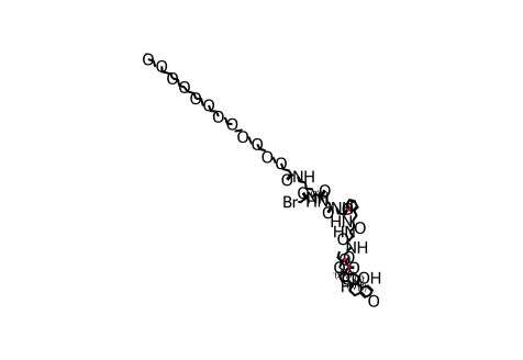 CCC(=O)O[C@]1(C(=O)COCNC(=O)CNC(=O)C(Cc2ccccc2)NC(=O)CNC(=O)CNC(=O)[C@H](CCCCNC(=O)CCOCCOCCOCCOCCOCCOCCOCCOCCOCCOCCOCCOC)NC(=O)CBr)[C@@H](C)CC2[C@@H]3CCC4=CC(=O)C=C[C@]4(C)[C@@]3(Cl)[C@@H](O)C[C@@]21C